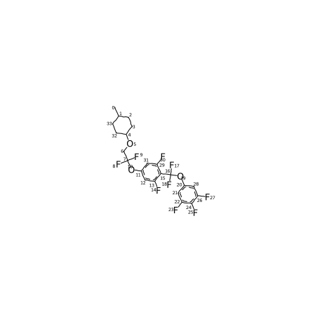 CC1CCC(OCC(F)(F)Oc2cc(F)c(C(F)(F)Oc3cc(F)c(F)c(F)c3)c(F)c2)CC1